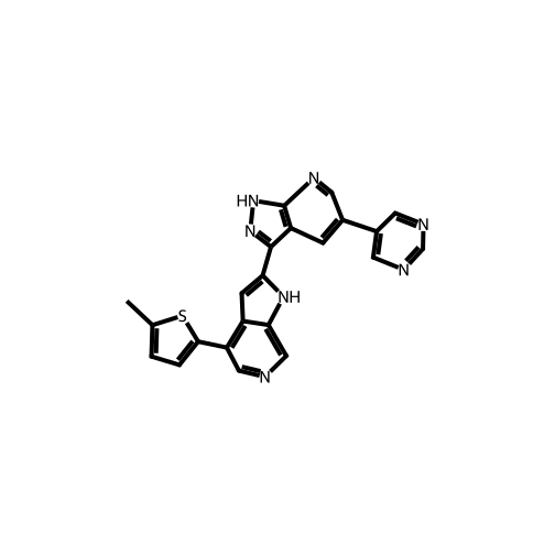 Cc1ccc(-c2cncc3[nH]c(-c4n[nH]c5ncc(-c6cncnc6)cc45)cc23)s1